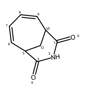 O=C1NC(=O)C2C=CC=CC1C2